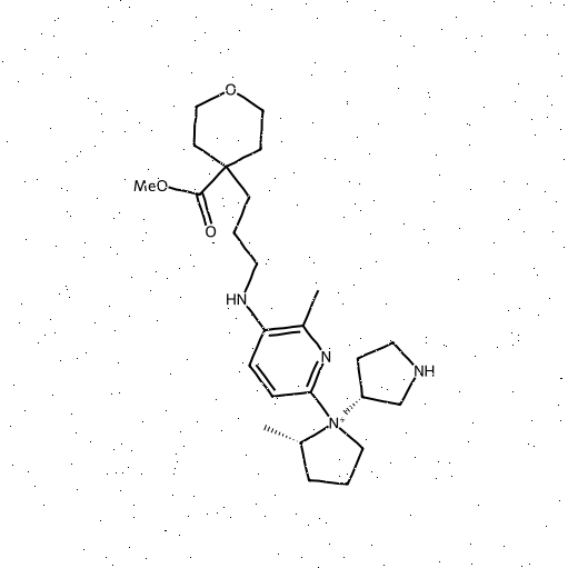 COC(=O)C1(CCCNc2ccc([N+]3([C@@H]4CCNC4)CCC[C@@H]3C)nc2C)CCOCC1